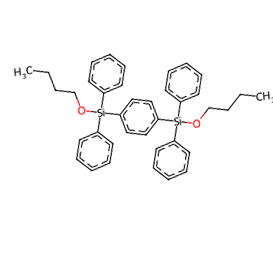 CCCCO[Si](c1ccccc1)(c1ccccc1)c1ccc([Si](OCCCC)(c2ccccc2)c2ccccc2)cc1